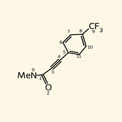 CNC(=O)C#Cc1ccc(C(F)(F)F)cc1